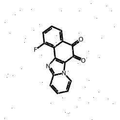 O=C1C(=O)c2c(nc3ccccn23)-c2c(F)cccc21